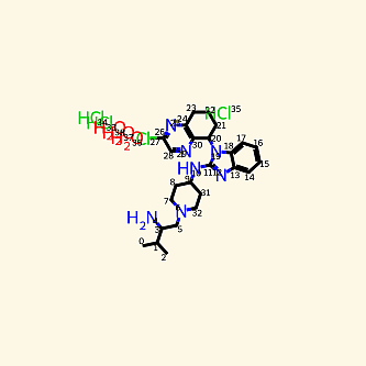 CC(C)C(N)CN1CCC(Nc2nc3ccccc3n2C2CCCc3nc(Cl)cnc32)CC1.Cl.Cl.Cl.O.O.O